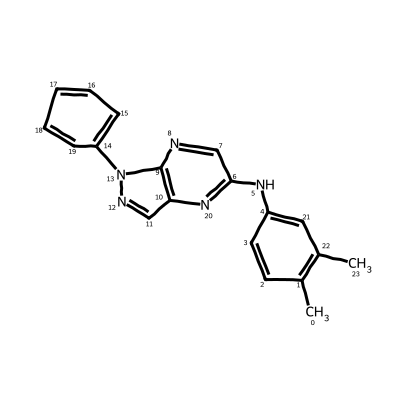 Cc1ccc(Nc2cnc3c(cnn3-c3ccccc3)n2)cc1C